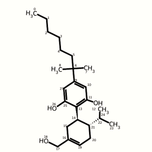 CCCCCCC(C)(C)c1cc(O)c([C@@H]2CC(CO)=CC[C@H]2C(C)C)c(O)c1